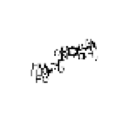 CC(Oc1cc2oc(=O)n(CCC(=O)OCC(N)(CO)CO)c2cc1Cl)c1ncco1